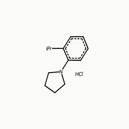 CC(C)c1ccccc1N1CCCC1.Cl